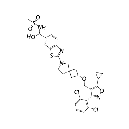 CS(=O)(=O)NC(O)c1ccc2nc(N3CCC4(CC(OCc5c(-c6c(Cl)cccc6Cl)noc5C5CC5)C4)C3)sc2c1